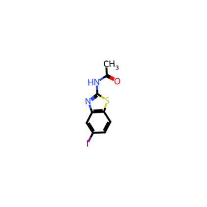 CC(=O)Nc1nc2cc(I)ccc2s1